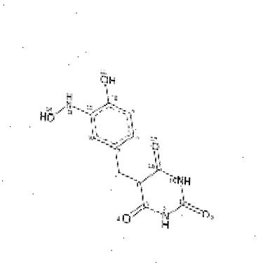 O=C1NC(=O)C(Cc2ccc(O)c(NO)c2)C(=O)N1